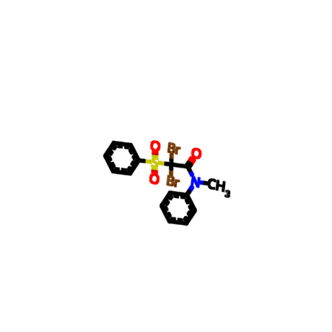 CN(C(=O)C(Br)(Br)S(=O)(=O)c1ccccc1)c1ccccc1